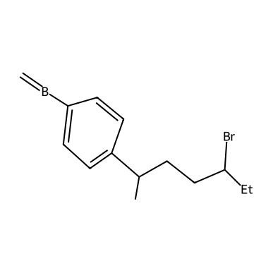 C=Bc1ccc(C(C)CCC(Br)CC)cc1